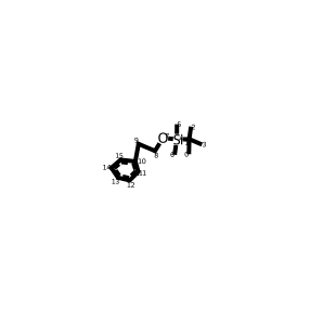 CC(C)(C)[Si](C)(C)OCCc1[c]cccc1